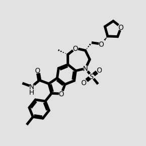 CNC(=O)c1c(-c2ccc(C)cc2)oc2cc3c(cc12)[C@H](C)O[C@H](CO[C@@H]1CCOC1)CN3S(C)(=O)=O